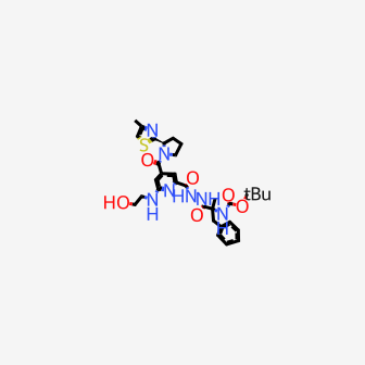 Cc1csc([C@H]2CCCN2C(=O)c2cc(NCCO)nc(C(=O)NNC(=O)C(C)(Cc3ccccc3)NC(=O)OC(C)(C)C)c2)n1